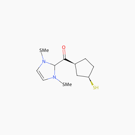 CSN1C=CN(SC)C1C(=O)[C@H]1CC[C@@H](S)C1